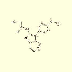 CC(C)(C)CC(=O)Nc1nc2ccccn2c1-c1ccc(OC(F)(F)F)cc1